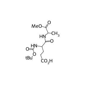 COC(=O)C(C)NC(=O)C(CCC(=O)O)NC(=O)OC(C)(C)C